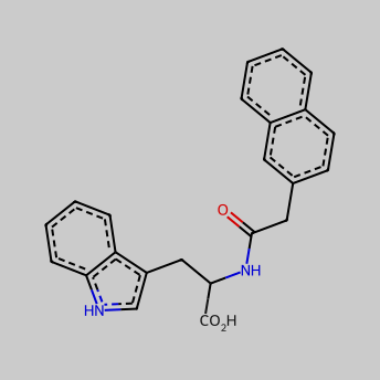 O=C(Cc1ccc2ccccc2c1)NC(Cc1c[nH]c2ccccc12)C(=O)O